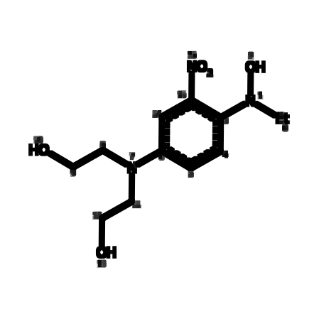 CCN(O)c1ccc(N(CCO)CCO)cc1[N+](=O)[O-]